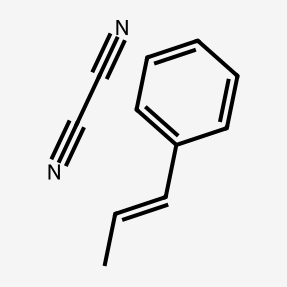 CC=Cc1ccccc1.N#CC#N